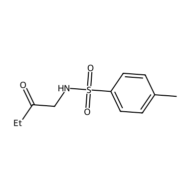 CCC(=O)CNS(=O)(=O)c1ccc(C)cc1